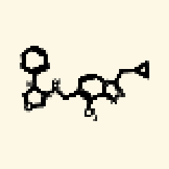 FC(F)(F)c1c(CN[C@H]2COC[C@H]2c2ccccc2)ccn2c(CC3CC3)nnc12